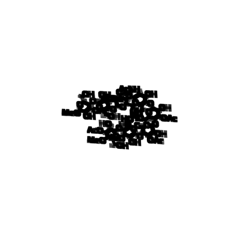 CO[C@H]1O[C@H](CO)[C@@H](O[C@H]2O[C@H](CO)[C@@H](O[C@H]3O[C@H](CO)[C@@H](O[C@H]4O[C@H](CO)[C@@H](O[C@H]5O[C@H](CO)[C@@H](O[C@H]6O[C@H](C(=O)O)[C@@H](O[C@H]7O[C@H](CO)[C@@H](O[C@H]8O[C@H](CO)[C@@H](OC)[C@H](OC(C)=O)[C@@H]8O)[C@H](OC(C)=O)[C@@H]7O)[C@H](OC(C)=O)[C@@H]6O)[C@H](OC(C)=O)[C@@H]5O)[C@H](O)[C@@H]4NC(C)=O)[C@H](OC(C)=O)[C@@H]3O)[C@H](OC(C)=O)[C@@H]2O)[C@H](OC(C)=O)[C@@H]1O